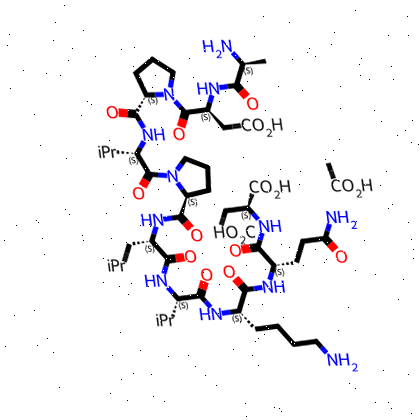 CC(=O)O.CC(C)C[C@H](NC(=O)[C@@H]1CCCN1C(=O)[C@@H](NC(=O)[C@@H]1CCCN1C(=O)[C@H](CC(=O)O)NC(=O)[C@H](C)N)C(C)C)C(=O)N[C@H](C(=O)N[C@@H](CCCCN)C(=O)N[C@@H](CCC(N)=O)C(=O)N[C@@H](CC(=O)O)C(=O)O)C(C)C